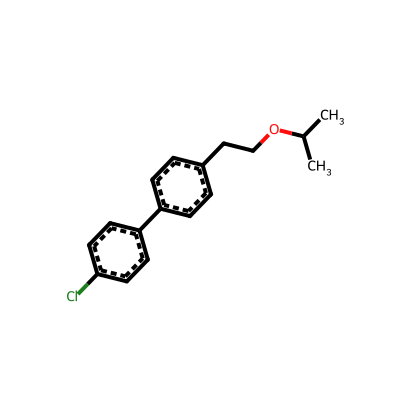 CC(C)OCCc1ccc(-c2ccc(Cl)cc2)cc1